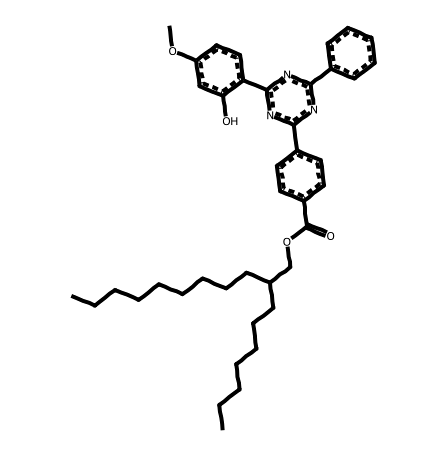 CCCCCCCCCC(CCCCCCC)COC(=O)c1ccc(-c2nc(-c3ccccc3)nc(-c3ccc(OC)cc3O)n2)cc1